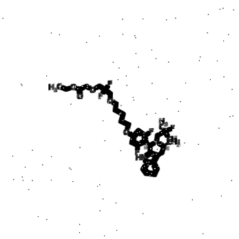 CCOC(=O)COCC(F)(F)COCCCCCOc1cc(F)c([C@@H]2c3[nH]c4ccccc4c3C[C@@H](C)N2CC(C)(C)F)c(F)c1